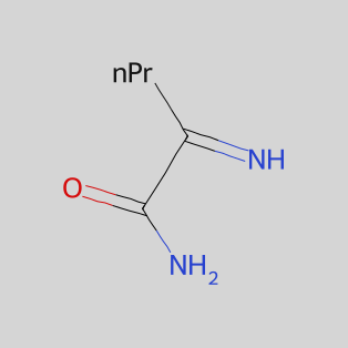 CCCC(=N)C(N)=O